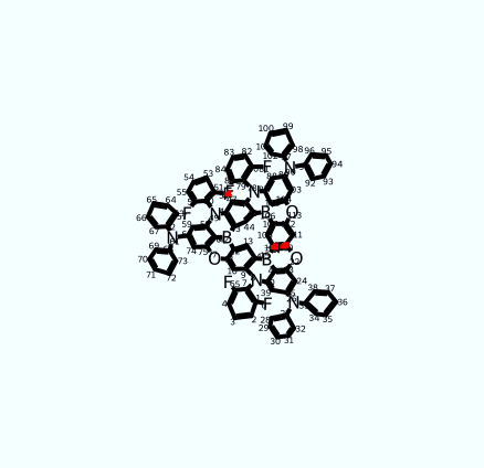 Fc1cccc(F)c1N1c2cc3c(cc2B2c4ccccc4Oc4cc(N(c5ccccc5)c5ccccc5)cc1c42)B1c2cc4c(cc2N(c2c(F)cccc2F)c2cc(N(c5ccccc5)c5ccccc5)cc(c21)O3)N(c1c(F)cccc1F)c1cc(N(c2ccccc2)c2ccccc2)cc2c1B4c1ccccc1O2